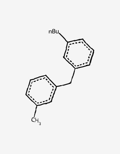 CCCCc1cccc(Cc2cccc(C)c2)c1